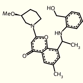 CO[C@H]1CCCN(c2cc(=O)c3cc(C)cc(C(C)Nc4ccccc4CO)c3o2)C1